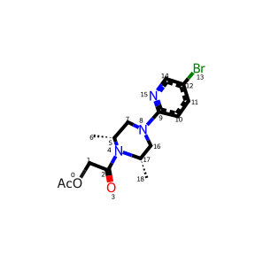 CC(=O)OCC(=O)N1[C@H](C)CN(c2ccc(Br)cn2)C[C@@H]1C